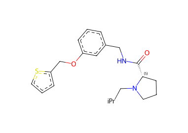 CC(C)CN1CCC[C@H]1C(=O)NCc1cccc(OCc2cccs2)c1